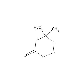 CC1(C)C[C]CC(=O)C1